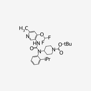 Cc1cc(OC(F)F)c(NC(=O)N(c2ccccc2C(C)C)C2CCN(C(=O)OC(C)(C)C)CC2)cn1